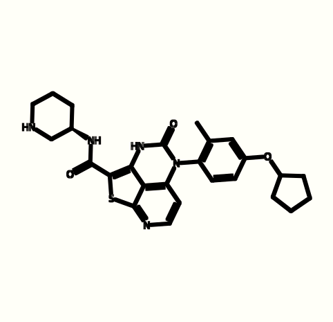 Cc1cc(OC2CCCC2)ccc1N1C(=O)Nc2c(C(=O)N[C@@H]3CCCNC3)sc3nccc1c23